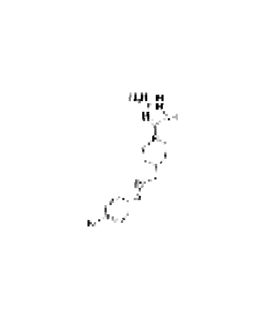 NC1N=C(N2CCC(CNSc3ccc(Br)cc3)CC2)NN1